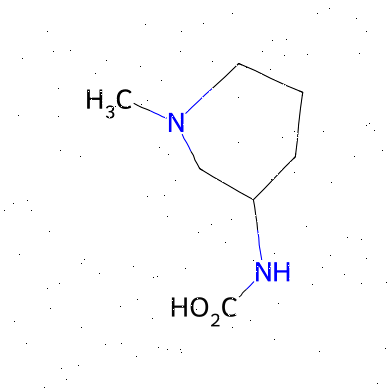 CN1CCCC(NC(=O)O)C1